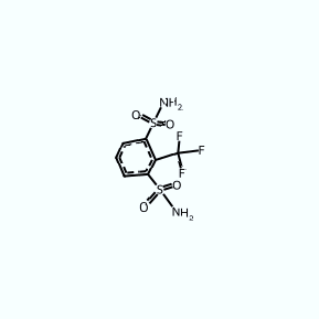 NS(=O)(=O)c1cccc(S(N)(=O)=O)c1C(F)(F)F